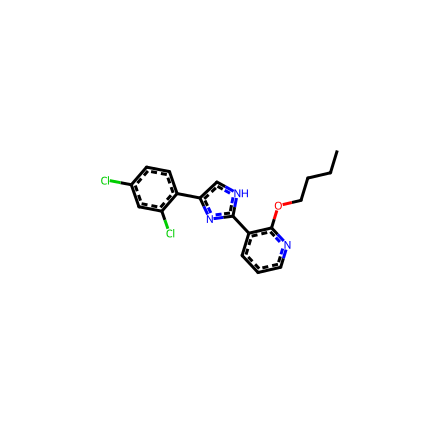 CCCCOc1ncccc1-c1nc(-c2ccc(Cl)cc2Cl)c[nH]1